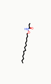 CCCCCCCCCCCCCCONC(=O)CC